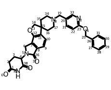 O=C1CCC(N2Cc3c(ccc4c3OCC43CCN(Cc4ccc(OCc5ccccc5)nc4)CC3)C2=O)C(=O)N1